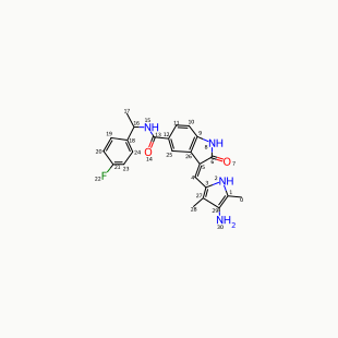 Cc1[nH]c(C=C2C(=O)Nc3ccc(C(=O)NC(C)c4ccc(F)cc4)cc32)c(C)c1N